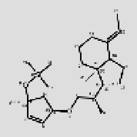 C[C@@H](CO[C@H]1C=C[C@@](C)(O[Si](C)(C)C)C1)[C@H]1CCC2C(=CI)CCC[C@@]21C